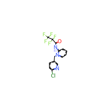 O=C(/N=c1\ccccn1Cc1ccc(Cl)nc1)C(F)(F)C(F)(F)F